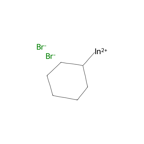 [Br-].[Br-].[In+2][CH]1CCCCC1